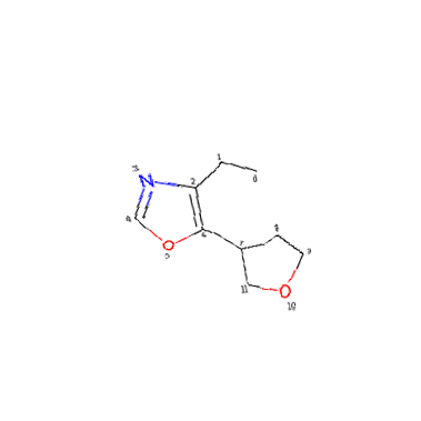 CCc1ncoc1C1CCOC1